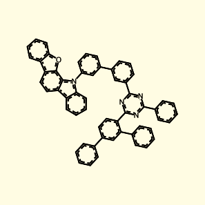 c1ccc(-c2ccc(-c3nc(-c4ccccc4)nc(-c4cccc(-c5cccc(-n6c7ccccc7c7ccc8c9ccccc9oc8c76)c5)c4)n3)c(-c3ccccc3)c2)cc1